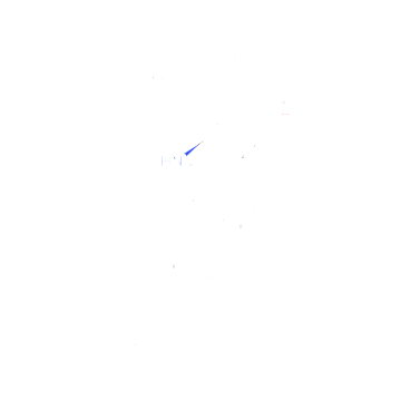 CC(O)[C@H](NC(=O)Cc1ccccc1)C(=O)O